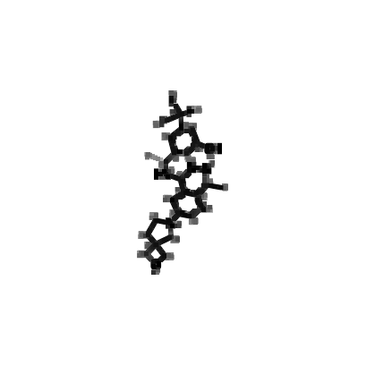 Cc1nnc(N[C@H](C)c2cc(O)cc(C(F)(F)F)c2)c2cc(N3CCC4(COC4)C3)cnc12